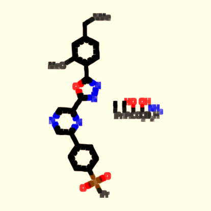 CC(C)C.CC(C)C.CNCc1ccc(-c2nnc(-c3cncc(-c4ccc(S(=O)(=O)C(C)C)cc4)n3)o2)c(OC)c1.N.O=C(O)O.O=C(O)O